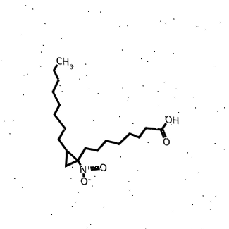 CCCCCCCCC1CC1(CCCCCCCC(=O)O)[N+](=O)[O-]